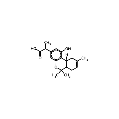 CC1=CCC2[C@@H](C1)c1c(O)cc([C@H](C)C(=O)O)cc1OC2(C)C